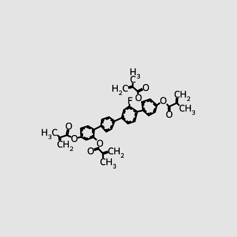 C=C(C)C(=O)Oc1ccc(-c2ccc(-c3ccc(-c4ccc(OC(=O)C(=C)C)cc4OC(=O)C(=C)C)c(F)c3)cc2)c(OC(=O)C(=C)C)c1